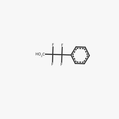 O=C(O)C(F)(F)C(F)(F)c1ccccc1